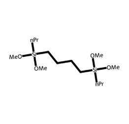 CCC[Si](CCCC[Si](CCC)(OC)OC)(OC)OC